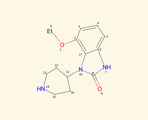 CCOc1cccc2[nH]c(=O)n(C3CCNCC3)c12